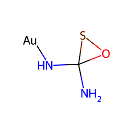 NC1([NH][Au])OS1